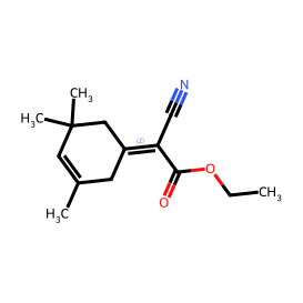 CCOC(=O)/C(C#N)=C1\CC(C)=CC(C)(C)C1